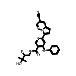 CC(C)(O)C(F)CNC(=O)c1cnc(-c2ccc3cc(C#N)cnn23)cc1Nc1ccccc1